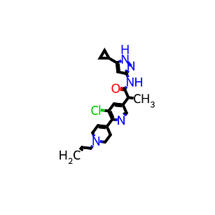 C=CCN1CC=C(c2ncc(C(C)C(=O)Nc3cc(C4CC4)[nH]n3)cc2Cl)CC1